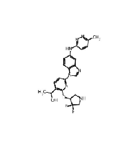 Cc1ccc(Nc2ccc3c(c2)ncn3-c2ccc(C(C)O)c(OC3CNCC3(F)F)n2)nn1